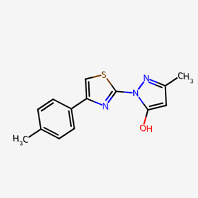 Cc1ccc(-c2csc(-n3nc(C)cc3O)n2)cc1